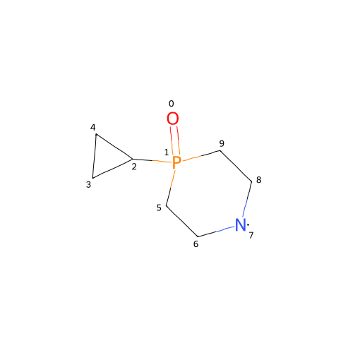 O=P1(C2CC2)CC[N]CC1